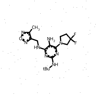 Cc1nonc1CNc1nc(NC(C)(C)C)nc(N2CCC(F)(F)C2)c1N